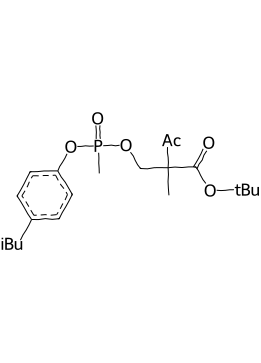 CCC(C)c1ccc(OP(C)(=O)OCC(C)(C(C)=O)C(=O)OC(C)(C)C)cc1